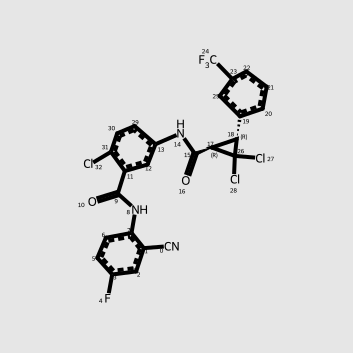 N#Cc1cc(F)ccc1NC(=O)c1cc(NC(=O)[C@H]2[C@H](c3cccc(C(F)(F)F)c3)C2(Cl)Cl)ccc1Cl